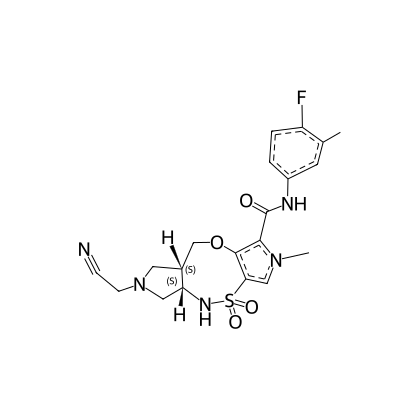 Cc1cc(NC(=O)c2c3c(cn2C)S(=O)(=O)N[C@@H]2CN(CC#N)C[C@@H]2CO3)ccc1F